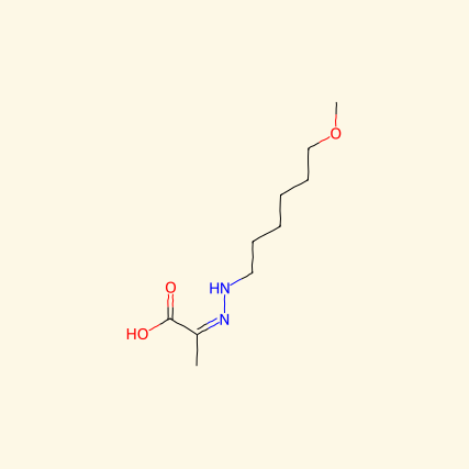 COCCCCCCNN=C(C)C(=O)O